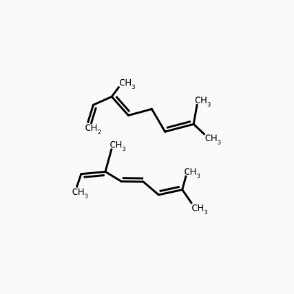 C=CC(C)=CCC=C(C)C.CC=C(C)C=CC=C(C)C